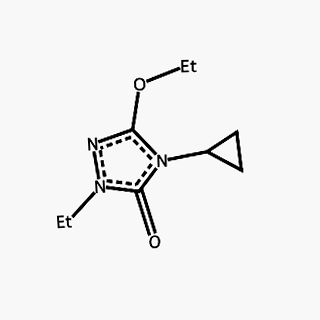 CCOc1nn(CC)c(=O)n1C1CC1